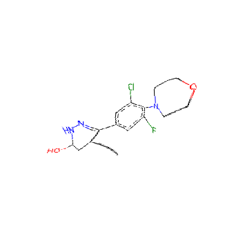 CC1CC(O)NN=C1c1cc(F)c(N2CCOCC2)c(Cl)c1